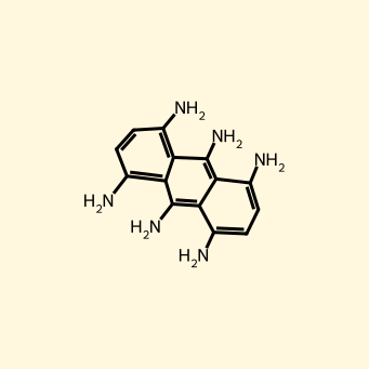 Nc1ccc(N)c2c(N)c3c(N)ccc(N)c3c(N)c12